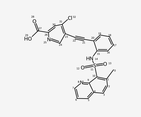 Cc1ccc2cccnc2c1S(=O)(=O)Nc1ccccc1C#Cc1cnc(C(=O)O)cc1Cl